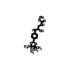 CC(C)(C)OC(=O)NCC(O)Nc1ccc(B2OC(C)(C)C(C)(C)O2)cc1